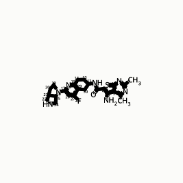 Cc1nc(C)c2c(N)c(C(=O)NC3CCc4nc(N5CCC6CNCC65)cc(F)c4C3)sc2n1